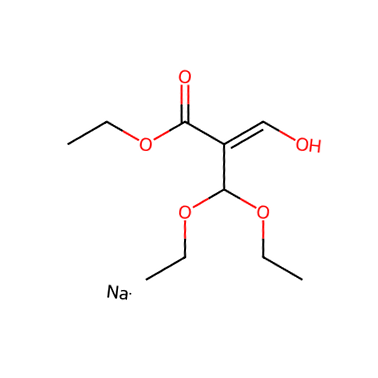 CCOC(=O)C(=CO)C(OCC)OCC.[Na]